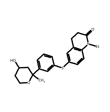 CCN1C(=O)CCc2cc(Sc3cccc(C4(C)CC(O)CCO4)c3)ccc21